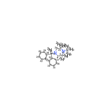 [2H]C([2H])([2H])N1C([2H])([2H])CN(C([2H])(c2ccccc2)c2ccccc2)CC1([2H])[2H]